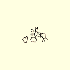 Cc1cccn(CC2(c3cccc(-c4ccccn4)c3)NC(=O)NC2=O)c1=O